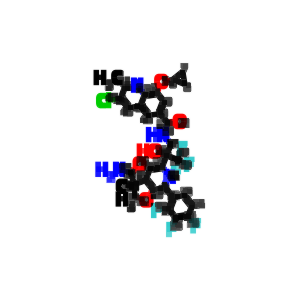 Cc1nc2c(OC3CC3)cc(C(=O)NCC(O)(c3cc4c(c(-c5ccc(F)c(F)c5F)n3)OC[C@]4(C)C(N)=O)C(F)(F)F)cc2cc1Cl